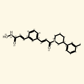 Cc1cccc(C2CCCN(C(=O)C=Cc3cccc(C=CC(=O)NO)c3)C2)c1